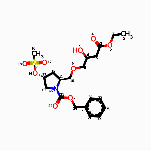 CCOC(=O)CC(O)COC[C@@H]1C[C@@H](OS(C)(=O)=O)CN1C(=O)OCc1ccccc1